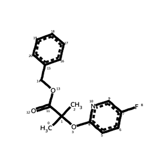 CC(C)(Oc1ccc(F)cn1)C(=O)OCc1ccccc1